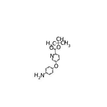 CC(C)(C)OC(=O)c1ccc(Oc2ccc(N)cc2)cn1